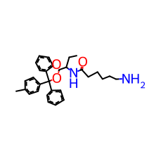 CCC(NC(=O)CCCCCN)C(=O)OC(c1ccccc1)(c1ccccc1)c1ccc(C)cc1